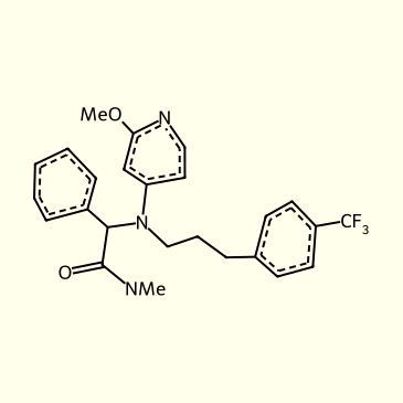 CNC(=O)C(c1ccccc1)N(CCCc1ccc(C(F)(F)F)cc1)c1ccnc(OC)c1